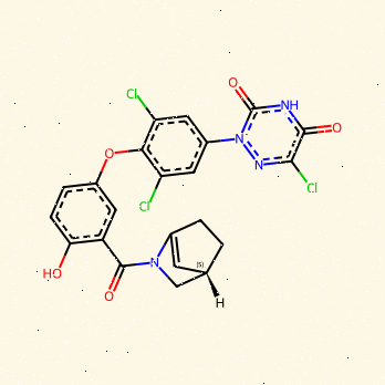 O=C(c1cc(Oc2c(Cl)cc(-n3nc(Cl)c(=O)[nH]c3=O)cc2Cl)ccc1O)N1C[C@@H]2C=C1CC2